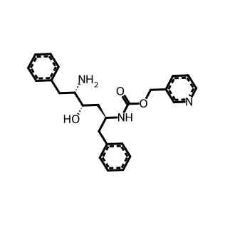 N[C@@H](Cc1ccccc1)[C@@H](O)C[C@H](Cc1ccccc1)NC(=O)OCc1cccnc1